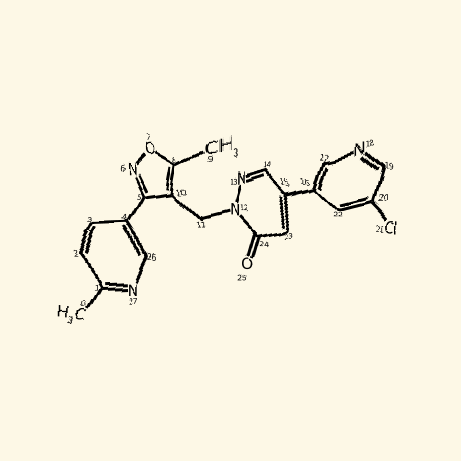 Cc1ccc(-c2noc(C)c2Cn2ncc(-c3cncc(Cl)c3)cc2=O)cn1